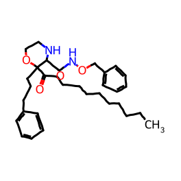 CCCCCCCCCCC(=O)C1(CCCc2ccccc2)OCCNC1C(=O)NOCc1ccccc1